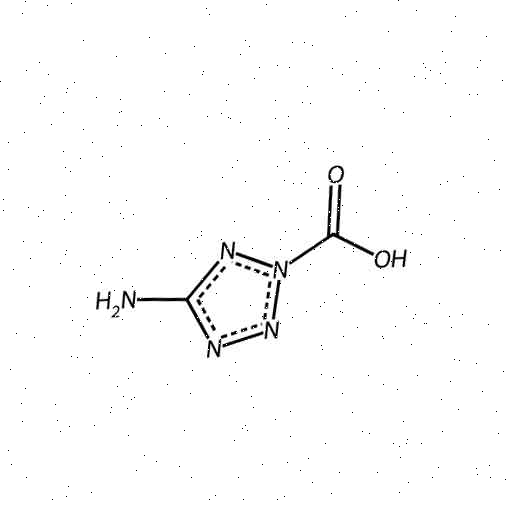 Nc1nnn(C(=O)O)n1